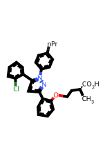 CCCc1ccc(-n2nc(-c3ccccc3OCC[C@@H](C)C(=O)O)cc2-c2ccccc2Cl)cc1